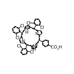 O=C(O)c1ccc(-c2c3nc(c(-c4c(Cl)cccc4Cl)c4ccc([nH]4)c(-c4c(Cl)cccc4Cl)c4nc(c(-c5c(Cl)cccc5Cl)c5ccc2[nH]5)C=C4)C=C3)cc1